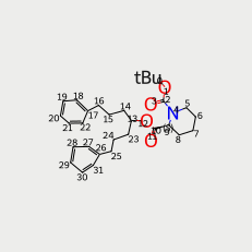 CC(C)(C)OC(=O)N1CCCC[C@H]1C(=O)OC(CCCc1ccccc1)CCCc1ccccc1